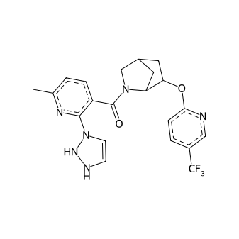 Cc1ccc(C(=O)N2CC3CC(Oc4ccc(C(F)(F)F)cn4)C2C3)c(N2C=CNN2)n1